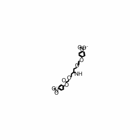 N=C(CCO/C=C/Oc1ccc([N+](=O)[O-])cc1)CCOCC(=O)Oc1ccc([N+](=O)[O-])cc1